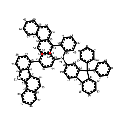 c1ccc(C2(c3ccccc3)c3ccccc3-c3ccc(N(c4ccc(-c5cccc6oc7c8ccccc8ccc7c56)cc4)c4ccccc4-c4cccc5c4ccc4ccccc45)cc32)cc1